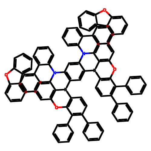 c1ccc(-c2ccccc2N2c3cc4c(cc3B3c5ccc(-c6ccccc6)c(-c6ccccc6)c5Oc5cc(-c6cccc7oc8ccccc8c67)cc2c53)B2c3ccc(-c5ccccc5)c(-c5ccccc5)c3Oc3cc(-c5cccc6oc7ccccc7c56)cc(c32)N4c2ccccc2-c2ccccc2)cc1